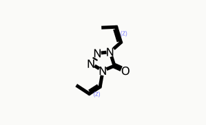 C/C=C\n1nnn(/C=C\C)c1=O